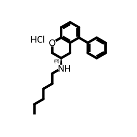 CCCCCCN[C@H]1COc2cccc(-c3ccccc3)c2C1.Cl